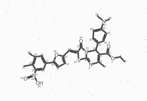 CCOC(=O)C1=C(C)N=c2s/c(=C\c3ccc(-c4cc(C)c(C)c([N+](=O)O)c4)o3)c(=O)n2C1c1ccc(N(C)C)cc1